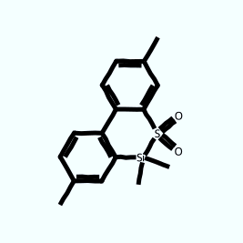 Cc1ccc2c(c1)[Si](C)(C)S(=O)(=O)c1cc(C)ccc1-2